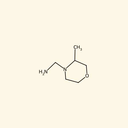 CC1COCCN1CN